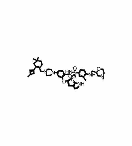 Cc1cc(S(=O)(=O)NC(=O)c2ccc(N3CCN(CC4=C(C56CC(C)(C5)C6)CC(C)(C)CC4)CC3)cc2Oc2cnc3[nH]ccc3c2)ccc1NCC1CN(C)CCO1